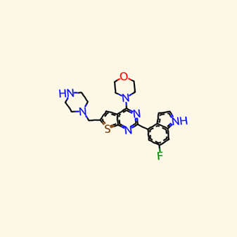 Fc1cc(-c2nc(N3CCOCC3)c3cc(CN4CCNCC4)sc3n2)c2cc[nH]c2c1